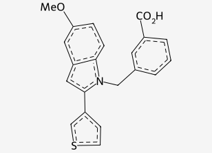 COc1ccc2c(c1)cc(-c1ccsc1)n2Cc1cccc(C(=O)O)c1